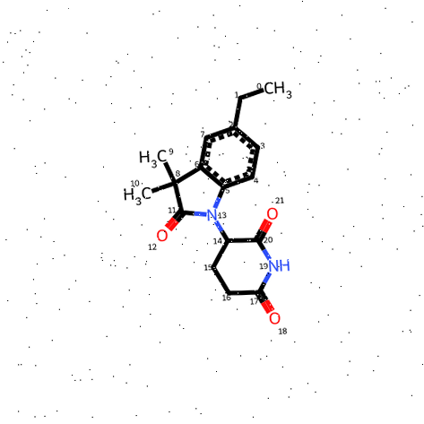 CCc1ccc2c(c1)C(C)(C)C(=O)N2C1CCC(=O)NC1=O